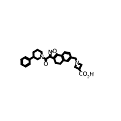 O=C(O)C1CN(Cc2ccc3c(c2)CCc2c(C(=O)N4CCCC(c5ccccc5)C4)noc2-3)C1